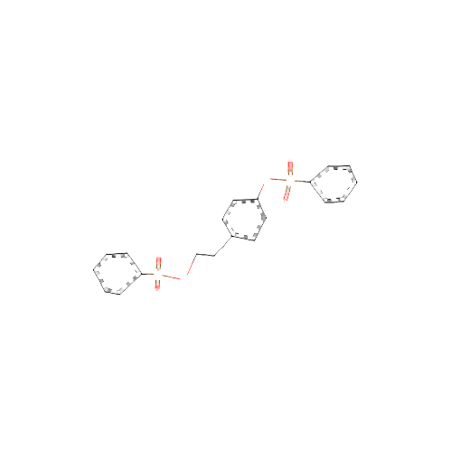 O=S(=O)(OCCc1ccc(OS(=O)(=O)c2ccccc2)cc1)c1ccccc1